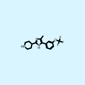 Cc1nc(C2CCNCC2)[nH]c1-c1cccc(OC(F)(F)F)c1